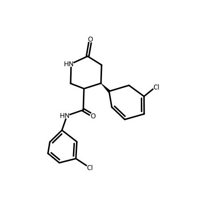 O=C1C[C@@H](C2C=CC=C(Cl)C2)C(C(=O)Nc2cccc(Cl)c2)CN1